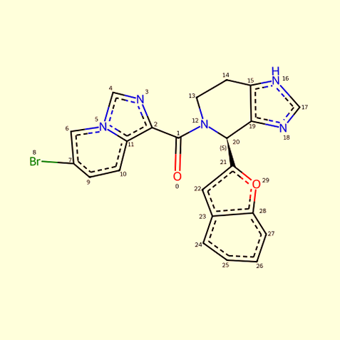 O=C(c1ncn2cc(Br)ccc12)N1CCc2[nH]cnc2[C@H]1c1cc2ccccc2o1